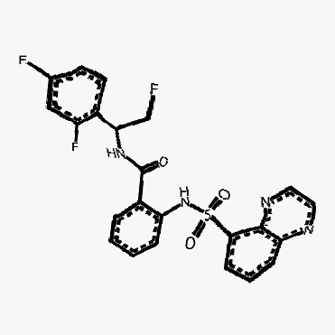 O=C(NC(CF)c1ccc(F)cc1F)c1ccccc1NS(=O)(=O)c1cccc2nccnc12